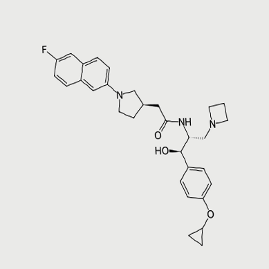 O=C(C[C@H]1CCN(c2ccc3cc(F)ccc3c2)C1)N[C@H](CN1CCC1)[C@H](O)c1ccc(OC2CC2)cc1